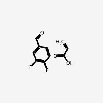 C=CC(=O)O.O=Cc1ccc(F)c(F)c1